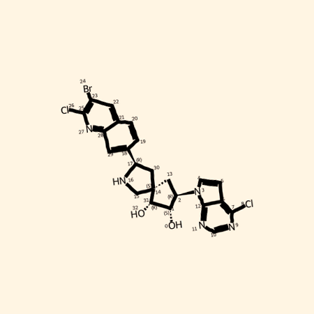 O[C@H]1[C@H](n2ccc3c(Cl)ncnc32)C[C@@]2(CN[C@@H](c3ccc4cc(Br)c(Cl)nc4c3)C2)[C@H]1O